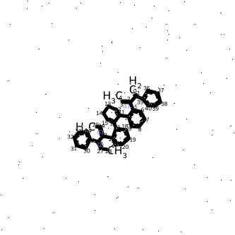 C=C(/C(=C\C)c1ccccc1C1=CCCC=C1c1ccccc1C(=C/C)/C(=C\C)c1ccccc1)c1ccccc1